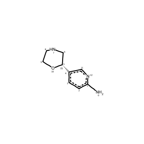 Nc1ccc([C@H]2CNCCO2)cn1